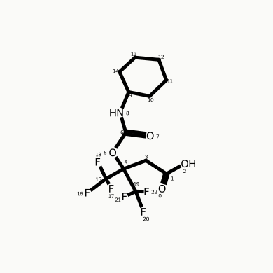 O=C(O)CC(OC(=O)NC1CCCCC1)(C(F)(F)F)C(F)(F)F